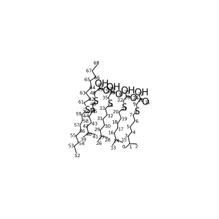 CC(C)CCCCCSCC(=O)O.CC(C)CCCCCSCC(=O)O.CC(C)CCCCCSCC(=O)O.CC(C)CCCCCSCC(=O)O.CCCCCCC[CH2][Sn][CH2]CCCCCCC